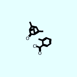 Cc1cc(C)c2cc1C2=O.Cc1ccccc1C(=O)Cl